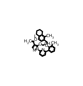 C=C(OI)c1cnn(-c2cccc(-c3cccc(C)c3OCc3ccc4c(c3C)CCCC4)n2)c1OCC